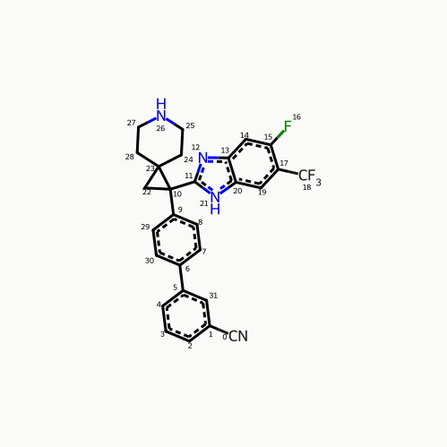 N#Cc1cccc(-c2ccc(C3(c4nc5cc(F)c(C(F)(F)F)cc5[nH]4)CC34CCNCC4)cc2)c1